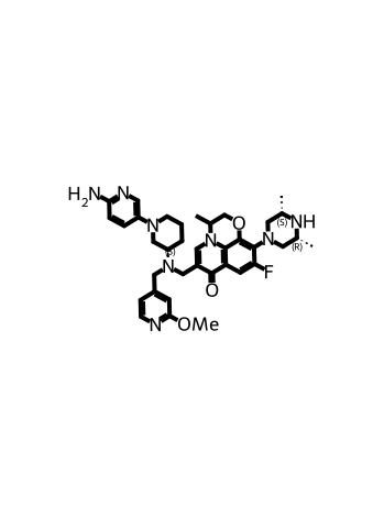 COc1cc(CN(Cc2cn3c4c(c(N5C[C@@H](C)N[C@@H](C)C5)c(F)cc4c2=O)OCC3C)[C@H]2CCCN(c3ccc(N)nc3)C2)ccn1